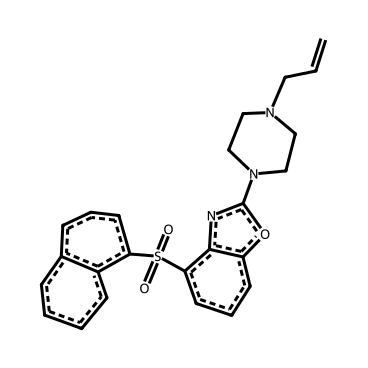 C=CCN1CCN(c2nc3c(S(=O)(=O)c4cccc5ccccc45)cccc3o2)CC1